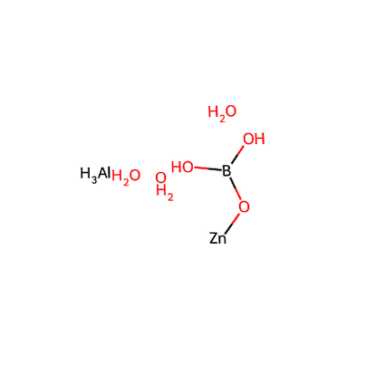 O.O.O.OB(O)[O][Zn].[AlH3]